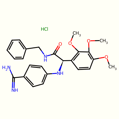 COc1ccc([C@@H](Nc2ccc(C(=N)N)cc2)C(=O)NCc2ccccc2)c(OC)c1OC.Cl